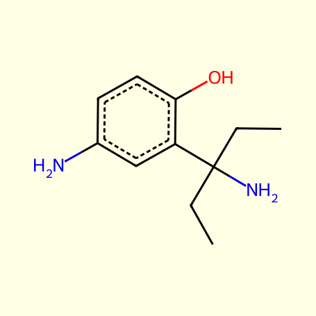 CCC(N)(CC)c1cc(N)ccc1O